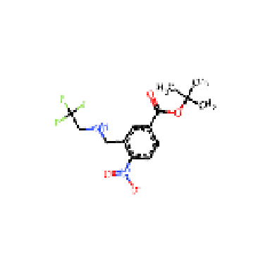 CC(C)(C)OC(=O)c1ccc([N+](=O)[O-])c(CNCC(F)(F)F)c1